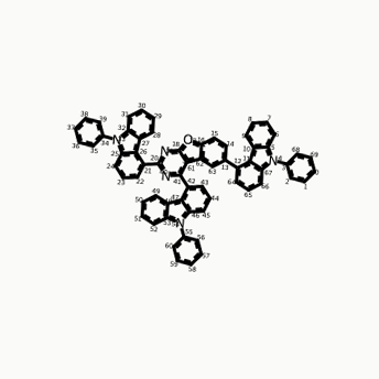 c1ccc(-n2c3ccccc3c3c(-c4ccc5oc6nc(-c7cccc8c7c7ccccc7n8-c7ccccc7)nc(-c7cccc8c7c7ccccc7n8-c7ccccc7)c6c5c4)cccc32)cc1